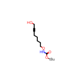 CC(C)(C)OC(=O)NOCCCCCC#CCO